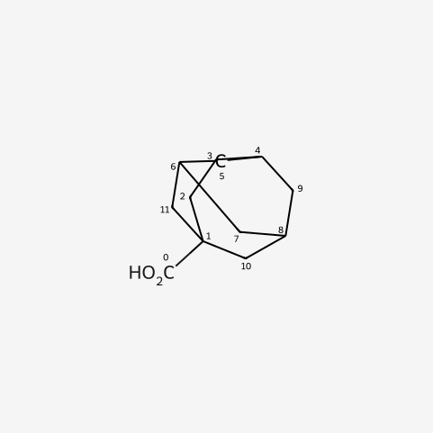 O=C(O)C12CCC3CC(CC(C3)C1)C2